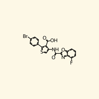 O=C(Nc1csc(-c2ccc(Br)cc2)c1C(=O)O)c1nc2c(F)cccc2o1